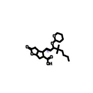 CCCCC(C)(C)C(/C=C/C1C(C(=O)O)CC2OC(=O)CC21)OC1CCCCO1